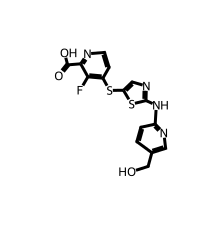 O=C(O)c1nccc(Sc2cnc(Nc3ccc(CO)cn3)s2)c1F